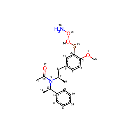 COc1ccc(C[C@@H](C)N(C(C)=O)[C@H](C)c2ccccc2)cc1SOON